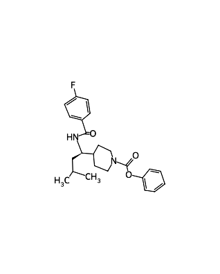 CC(C)C[C@@H](NC(=O)c1ccc(F)cc1)C1CCN(C(=O)Oc2ccccc2)CC1